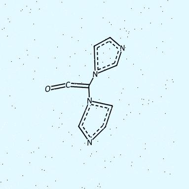 O=C=C(n1ccnc1)n1ccnc1